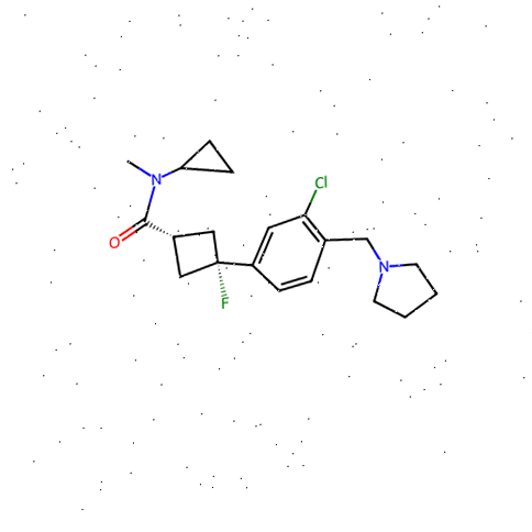 CN(C(=O)[C@H]1C[C@](F)(c2ccc(CN3CCCC3)c(Cl)c2)C1)C1CC1